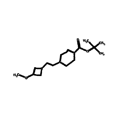 COC1CN(CCN2CCN(C(=O)OC(C)(C)C)CC2)C1